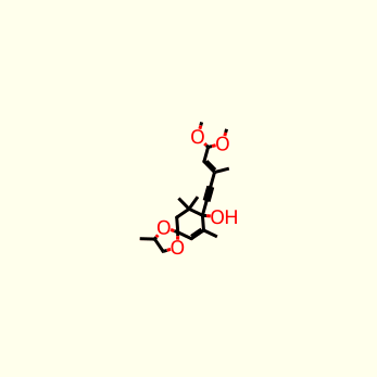 COC(C=C(C)C#CC1(O)C(C)=CC2(CC1(C)C)OCC(C)O2)OC